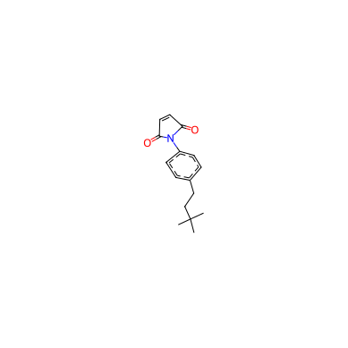 CC(C)(C)CCc1ccc(N2C(=O)C=CC2=O)cc1